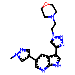 Cn1cc(-c2cnc3[nH]cc(-c4cn(CCN5CCOCC5)nn4)c3c2)cn1